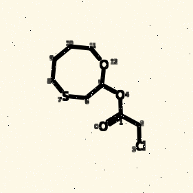 O=C(CCl)OC1CSCCCCO1